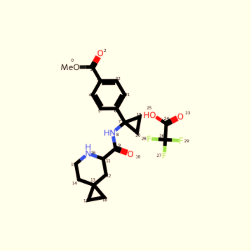 COC(=O)c1ccc(C2(NC(=O)C3CC4(CCN3)CC4)CC2)cc1.O=C(O)C(F)(F)F